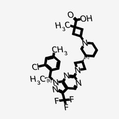 Cc1ccc([C@@H](C)n2nc(C(F)(F)F)c3cnc(N4CC([C@H]5CCCN(C6CC(C)(C(=O)O)C6)C5)C4)nc32)c(Cl)c1